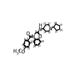 COc1ccc(C(=O)N(CC(=O)NC2CCN(C3CCCC3)CC2)c2ccccc2)cc1